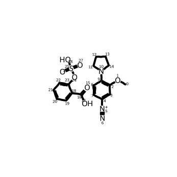 COc1cc([N+]#N)ccc1N1CCCC1.O=C(O)c1ccccc1OS(=O)(=O)O